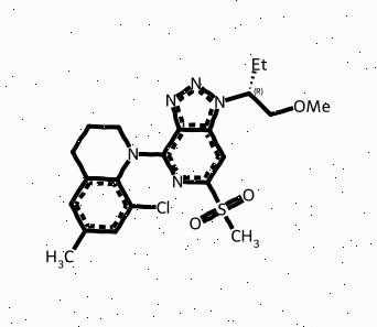 CC[C@H](COC)n1nnc2c(N3CCCc4cc(C)cc(Cl)c43)nc(S(C)(=O)=O)cc21